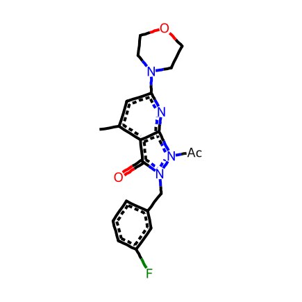 CC(=O)n1c2nc(N3CCOCC3)cc(C)c2c(=O)n1Cc1cccc(F)c1